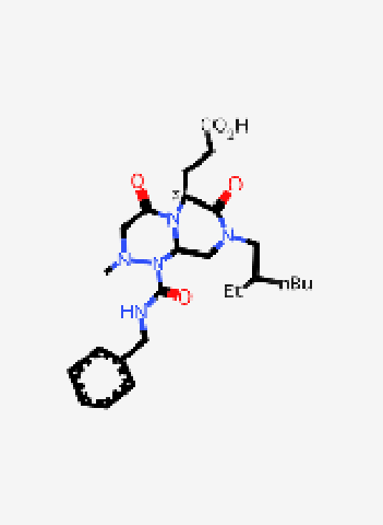 CCCCC(CC)CN1CC2N(C(=O)CN(C)N2C(=O)NCc2ccccc2)[C@@H](CCC(=O)O)C1=O